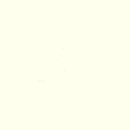 CNC(=O)c1c(N)ccc(-c2cnn(CCCO)c2)c1OC